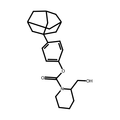 O=C(Oc1ccc(C23CC4CC(CC(C4)C2)C3)cc1)N1CCCCC1CO